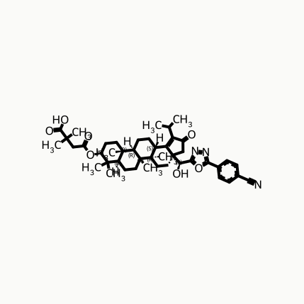 CC(C)C1=C2[C@H]3CC[C@@H]4[C@@]5(C)CC[C@H](OC(=O)CC(C)(C)C(=O)O)C(C)(C)[C@@H]5CC[C@@]4(C)[C@]3(C)CC[C@@]2([C@H](O)c2nnc(-c3ccc(C#N)cc3)o2)CC1=O